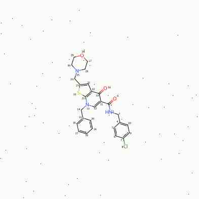 O=C(NCc1ccc(Cl)cc1)c1cn(Cc2ccccc2)c2sc(CN3CCOCC3)cc2c1=O